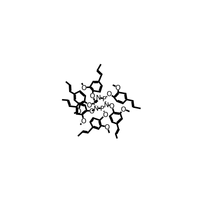 CC=Cc1ccc(ON2P(Oc3ccc(C=CC)cc3OC)N=P(Oc3ccc(C=CC)cc3OC)(Oc3ccc(C=CC)cc3OC)N(Oc3ccc(C=CC)cc3OC)P2Oc2ccc(C=CC)cc2OC)c(OC)c1